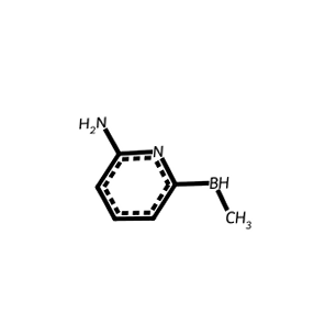 CBc1cccc(N)n1